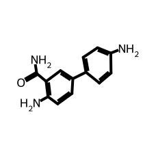 NC(=O)c1cc(-c2ccc(N)cc2)ccc1N